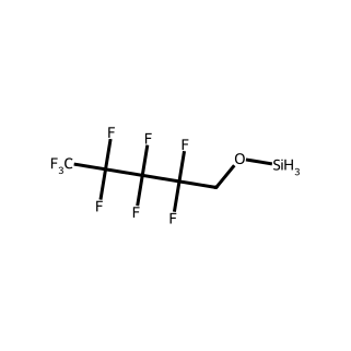 FC(F)(F)C(F)(F)C(F)(F)C(F)(F)CO[SiH3]